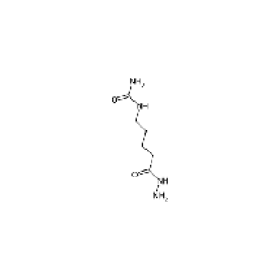 NNC(=O)CCCCNC(N)=O